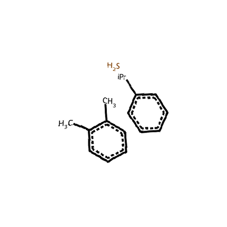 CC(C)c1ccccc1.Cc1ccccc1C.S